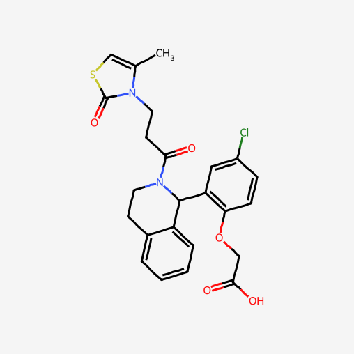 Cc1csc(=O)n1CCC(=O)N1CCc2ccccc2C1c1cc(Cl)ccc1OCC(=O)O